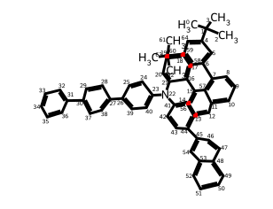 CC(C)(C)c1cc(-c2cccc3cccc(-c4ccccc4N(c4ccc(-c5ccc(-c6ccccc6)cc5)cc4)c4ccc(-c5ccc6ccccc6c5)cc4)c23)cc(C(C)(C)C)c1